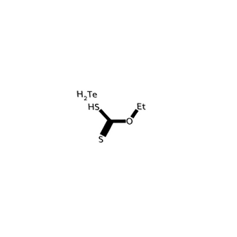 CCOC(=S)S.[TeH2]